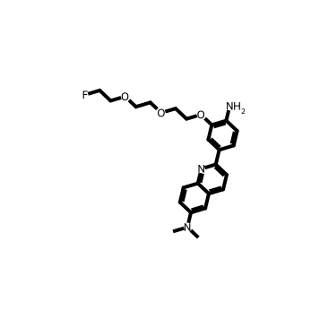 CN(C)c1ccc2nc(-c3ccc(N)c(OCCOCCOCCF)c3)ccc2c1